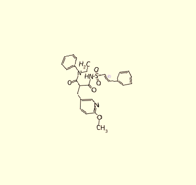 CCN(C(=O)C(Cc1ccc(OC)nc1)C(=O)NS(=O)(=O)/C=C/c1ccccc1)c1ccccc1